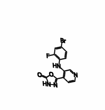 O=c1[nH]nc(-c2ccncc2Nc2ccc(Br)cc2F)o1